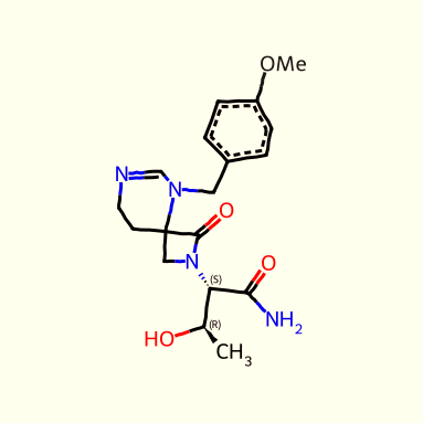 COc1ccc(CN2C=NCCC23CN([C@H](C(N)=O)[C@@H](C)O)C3=O)cc1